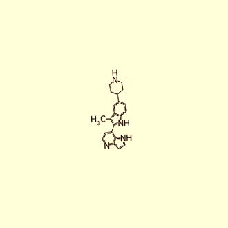 Cc1c(-c2ccnc3cc[nH]c23)[nH]c2ccc(C3CCNCC3)cc12